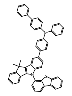 CC1(C)c2ccccc2-c2c1c1cc(-c3ccc(N(c4ccccc4)c4ccc(-c5ccccc5)cc4)cc3)ccc1n2-c1cccc2c1sc1ccccc12